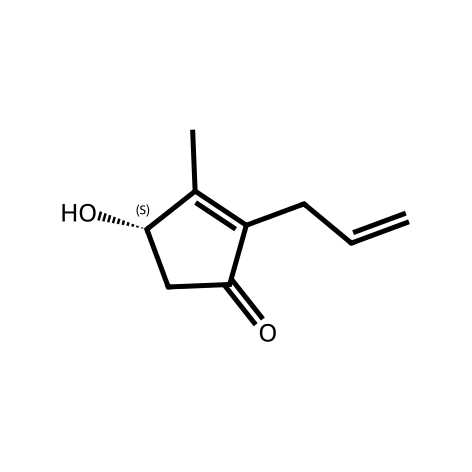 C=CCC1=C(C)[C@@H](O)CC1=O